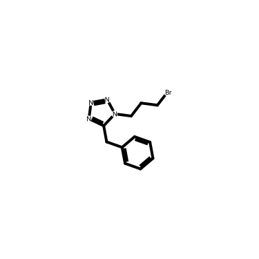 BrCCCn1nnnc1Cc1ccccc1